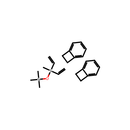 C=C[Si](C)(C=C)O[Si](C)(C)C.c1ccc2c(c1)CC2.c1ccc2c(c1)CC2